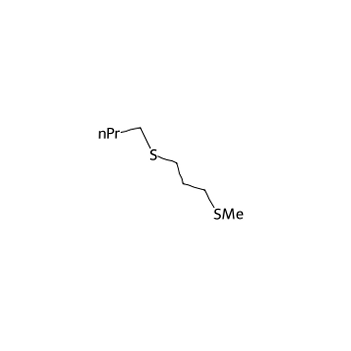 CCCCSCCCSC